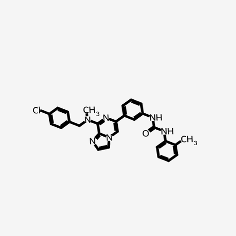 Cc1ccccc1NC(=O)Nc1cccc(-c2cn3ccnc3c(N(C)Cc3ccc(Cl)cc3)n2)c1